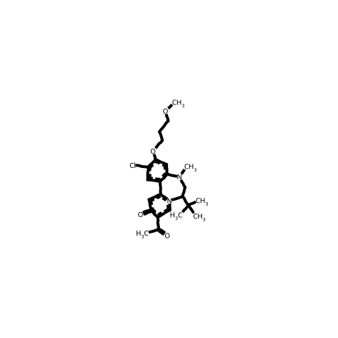 COCCCOc1cc2c(cc1Cl)-c1cc(=O)c(C(C)=O)cn1C(C(C)(C)C)CN2C